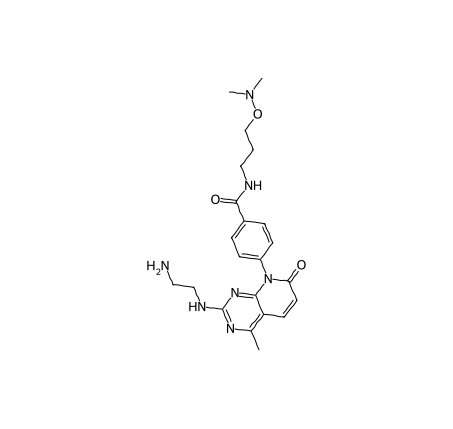 Cc1nc(NCCN)nc2c1ccc(=O)n2-c1ccc(C(=O)NCCCON(C)C)cc1